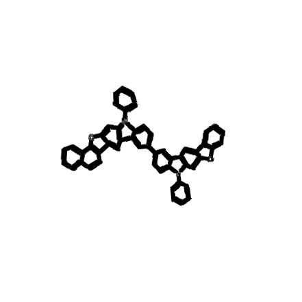 c1ccc(-n2c3ccc(-c4ccc5c(c4)c4cc6c(cc4n5-c4ccccc4)oc4c5ccccc5ccc64)cc3c3cc4c(cc32)oc2ccccc24)cc1